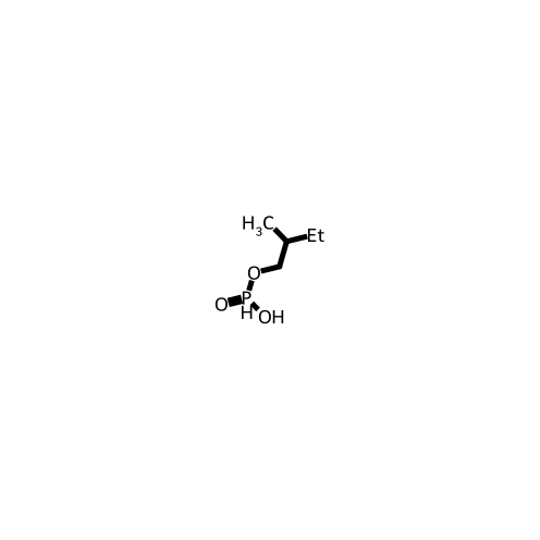 CCC(C)CO[PH](=O)O